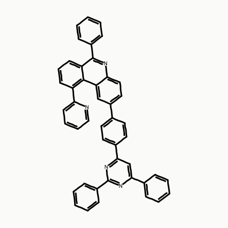 c1ccc(-c2cc(-c3ccc(-c4ccc5nc(-c6ccccc6)c6cccc(-c7ccccn7)c6c5c4)cc3)nc(-c3ccccc3)n2)cc1